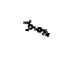 CCOCC(C=C(C)C(=O)O)COc1ccc(NC(=O)OC(C)(C)C)cc1